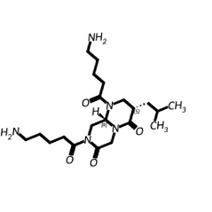 CC(C)C[C@H]1CN(C(=O)CCCCN)[C@H]2CN(C(=O)CCCCN)C(=O)CN2C1=O